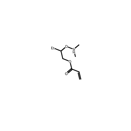 C=CC(=O)OCC(CC)O[SiH](C)C